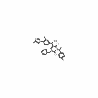 Cc1cn(-c2ccc(C(O)c3cn(Cc4ccccc4)c(=O)n(C(C)c4ccc(F)cc4)c3=O)cc2C)cn1